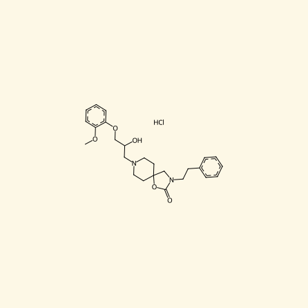 COc1ccccc1OCC(O)CN1CCC2(CC1)CN(CCc1ccccc1)C(=O)O2.Cl